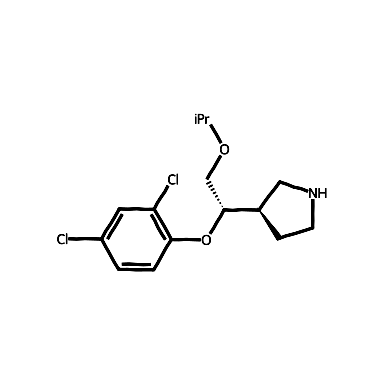 CC(C)OC[C@@H](Oc1ccc(Cl)cc1Cl)[C@@H]1CCNC1